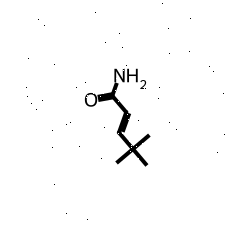 CC(C)(C)/C=C/C(N)=O